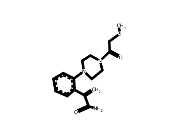 C=C(C(N)=O)c1ccccc1N1CCN(C(=O)CSC)CC1